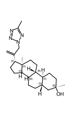 C=C(Cn1nnc(C)n1)[C@H]1CC[C@H]2[C@@H]3CC[C@H]4C[C@](C)(O)CC[C@@H]4[C@H]3CC[C@]12C